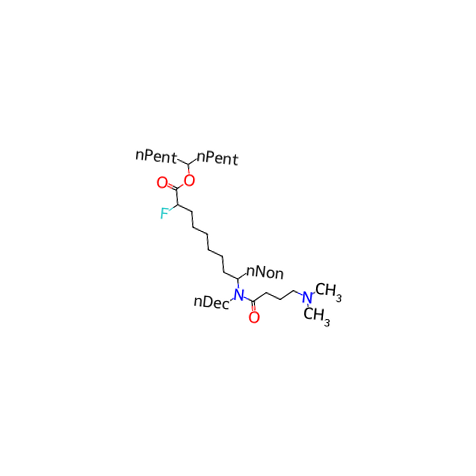 CCCCCCCCCCN(C(=O)CCCN(C)C)C(CCCCCCCCC)CCCCCCC(F)C(=O)OC(CCCCC)CCCCC